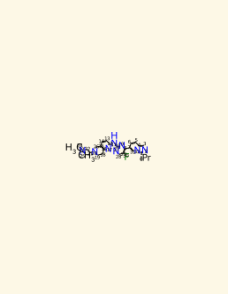 CC(C)c1ncc2ccc(-c3nc(Nc4ccc5c(n4)CCN(CCN(C)C)C5)ncc3F)cn12